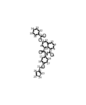 O=C(Oc1cc2c3c(cccc3c1)C(=O)N(c1ccc(OCC3=CCC=C3)cc1)C2=O)c1ccccc1